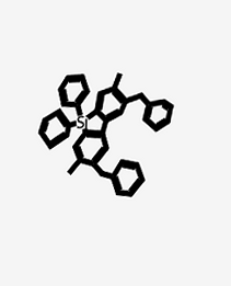 Cc1cc2c(cc1Cc1ccccc1)-c1cc(Cc3ccccc3)c(C)cc1[Si]2(c1ccccc1)c1ccccc1